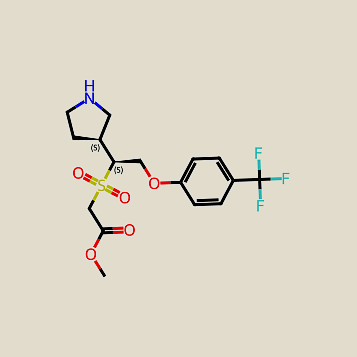 COC(=O)CS(=O)(=O)[C@H](COc1ccc(C(F)(F)F)cc1)[C@H]1CCNC1